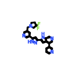 FC1(F)CCN(Cc2cncc(-c3cc(-c4cc5c(-c6cccnc6)cncc5[nH]4)n[nH]3)c2)C1